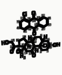 C[C@]12CC[C@@H](O)C[C@H]1CC[C@@H]1[C@@H]2C(=O)C[C@@]2(C)[C@H]1CC[C@]2(O)C(=O)CO.O=C1c2ccccc2C(=O)c2c(Cl)cccc21